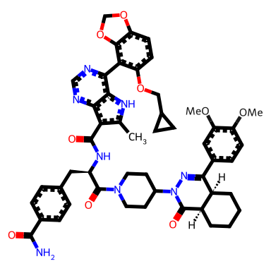 COc1ccc(C2=NN(C3CCN(C(=O)[C@@H](Cc4ccc(C(N)=O)cc4)NC(=O)c4c(C)[nH]c5c(-c6c(OCC7CC7)ccc7c6OCO7)ncnc45)CC3)C(=O)[C@@H]3CCCC[C@H]23)cc1OC